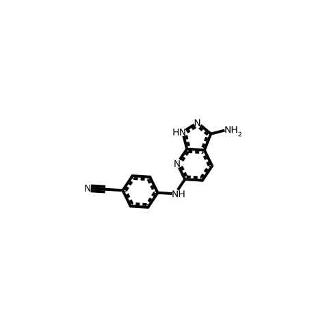 N#Cc1ccc(Nc2ccc3c(N)n[nH]c3n2)cc1